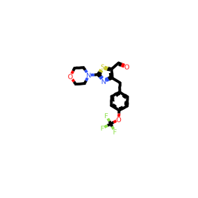 O=Cc1sc(N2CCOCC2)nc1Cc1ccc(OC(F)(F)F)cc1